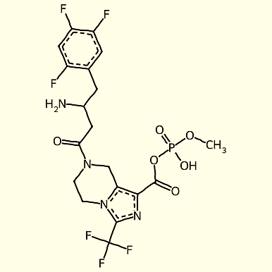 COP(=O)(O)OC(=O)c1nc(C(F)(F)F)n2c1CN(C(=O)CC(N)Cc1cc(F)c(F)cc1F)CC2